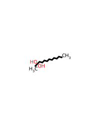 CCCCCCCCCCCC(O)(O)CC